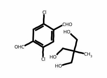 CC(CO)(CO)CO.O=Cc1cc(Cl)c(C=O)cc1Cl